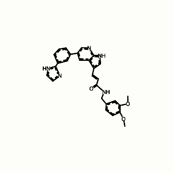 COc1ccc(CNC(=O)/C=C/c2c[nH]c3ncc(-c4cccc(-c5ncc[nH]5)c4)cc23)cc1OC